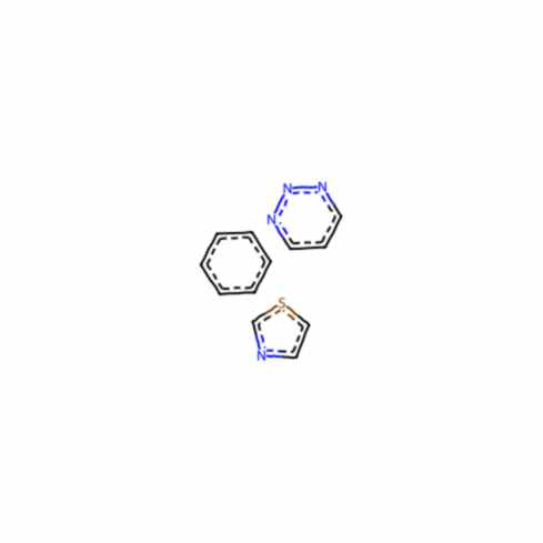 c1ccccc1.c1cnnnc1.c1cscn1